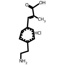 C/C(=C\c1ccc(CCN)cc1)C(=O)O.Cl